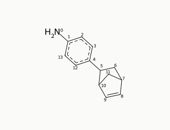 Nc1ccc(C2CC3C=CC2C3)cc1